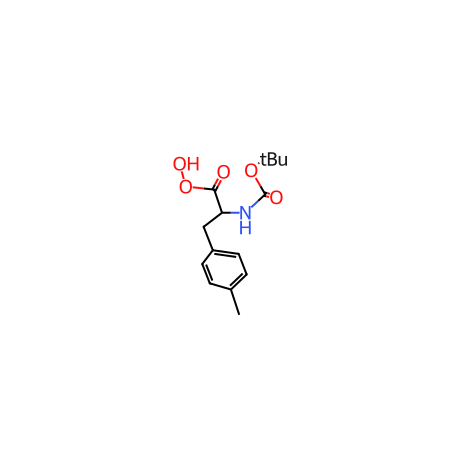 Cc1ccc(CC(NC(=O)OC(C)(C)C)C(=O)OO)cc1